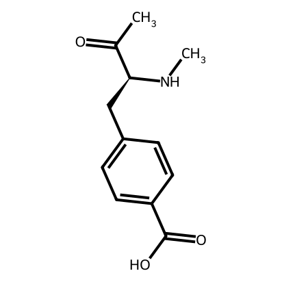 CN[C@@H](Cc1ccc(C(=O)O)cc1)C(C)=O